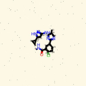 CNC(=O)c1cc(-c2ncc(C)c(Nc3cc(C4CC4)[nH]n3)n2)ccc1Cl